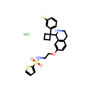 Cl.O=S(=O)(NCCOc1ccc2c(c1)C(C1(c3cccc(F)c3)CCC1)NCC2)c1cccs1